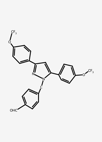 O=Cc1ccc(Cn2nc(-c3ccc(OC(F)(F)F)cc3)cc2-c2ccc(OC(F)(F)F)cc2)cc1